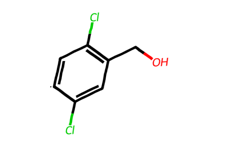 OCc1cc(Cl)[c]cc1Cl